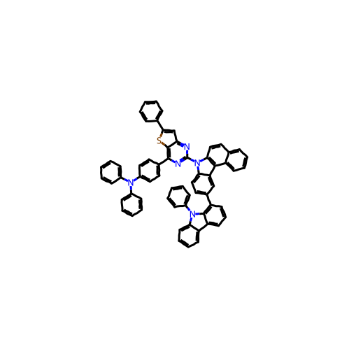 c1ccc(-c2cc3nc(-n4c5ccc(-c6cccc7c8ccccc8n(-c8ccccc8)c67)cc5c5c6ccccc6ccc54)nc(-c4ccc(N(c5ccccc5)c5ccccc5)cc4)c3s2)cc1